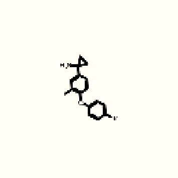 Cc1cc(C2(N)CC2)ccc1Oc1ccc(Br)cc1